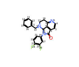 O=C1c2ccnc3c2C(N(Cc2ccccc2)CC3)N1c1ccc(F)c(F)c1